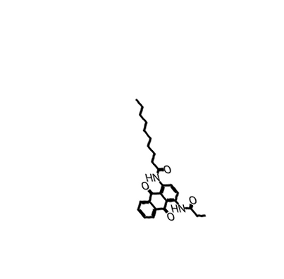 CCCCCCCCCC(=O)Nc1ccc(NC(=O)CC)c2c1C(=O)c1ccccc1C2=O